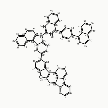 c1ccc2c(c1)-c1cccc3c1c-2cc1oc2ccc(-c4ccc5c(c4)c4c6ccccc6ccc4n5-c4nc(-c5ccc(-c6cccc7ccccc67)cc5)c5ccccc5n4)cc2c13